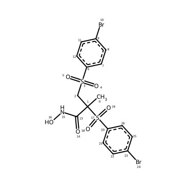 CC(CS(=O)(=O)c1ccc(Br)cc1)(C(=O)NO)S(=O)(=O)c1ccc(Br)cc1